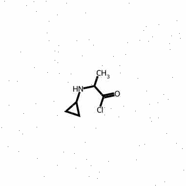 CC(NC1CC1)C(=O)Cl